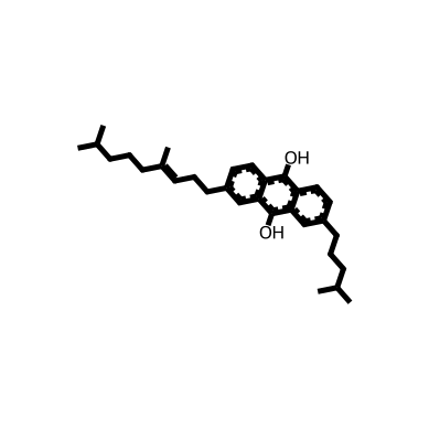 C/C(=C\CCc1ccc2c(O)c3ccc(CCCC(C)C)cc3c(O)c2c1)CCCC(C)C